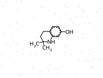 CC1(C)CCc2ccc(O)cc2N1